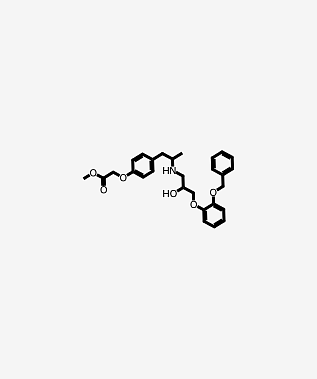 COC(=O)COc1ccc(CC(C)NCC(O)COc2ccccc2OCc2ccccc2)cc1